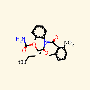 Cc1ccccc1N(C(=O)c1c(C)cccc1[N+](=O)[O-])C(=O)[C@H](CCC(C)(C)C)OC(N)=O